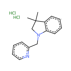 CC1(C)CN(Cc2ccccn2)c2cc[c]cc21.Cl.Cl